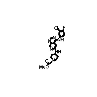 COC(=O)CN1CCC(Nc2cc3c(Nc4ccc(F)c(Cl)c4)ncnc3cn2)CC1